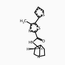 Cc1nc(C(=O)N[C@H]2CN3CCC2CC3)sc1-c1cccs1